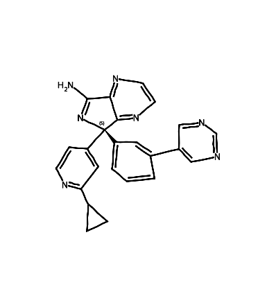 NC1=N[C@@](c2cccc(-c3cncnc3)c2)(c2ccnc(C3CC3)c2)c2nccnc21